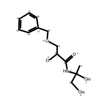 CC(O)(CO)NC(=O)C(Cl)COCc1ccccc1